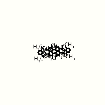 CC(C)c1cccc(C(C)C)c1N1C(=O)c2cc(Cl)c3c4c(Cl)cc5c6c(cc(Cl)c(c7c(Cl)cc(c2c37)C1=O)c64)C(O)N(c1c(C(C)C)cccc1C(C)C)C5=O